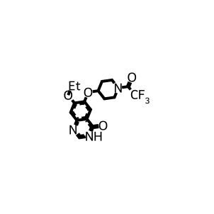 CCOc1cc2nc[nH]c(=O)c2cc1OC1CCN(C(=O)C(F)(F)F)CC1